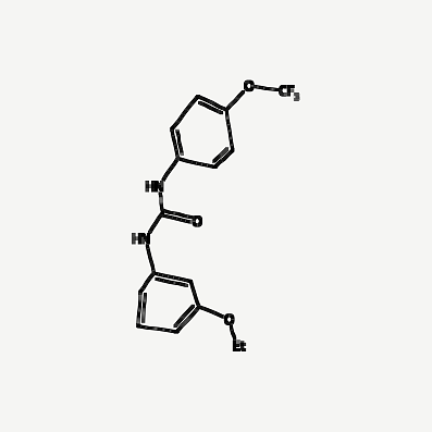 CCOc1cccc(NC(=O)Nc2ccc(OC(F)(F)F)cc2)c1